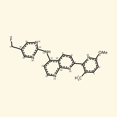 COc1ccc(C)c(-c2ccc3c(Nc4ncc(CF)cn4)ccnc3n2)n1